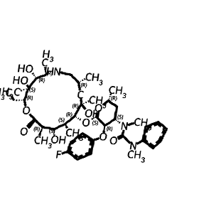 CC[C@H]1OC(=O)[C@H](C)[C@@H](O)[C@H](C)[C@@H](O[C@@H]2O[C@H](C)C[C@H](N(C)C(=O)N(C)c3ccccc3)[C@H]2Oc2ccc(F)cc2)[C@](C)(O)C[C@@H](C)CN[C@H](C)[C@@H](O)[C@]1(C)O